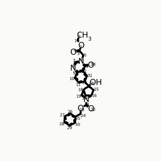 CCOC(=O)Cn1cnc2ccc(C3(O)CC4CC3CN4C(=O)OCc3ccccc3)cc2c1=O